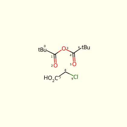 CC(C)(C)C(=O)OC(=O)C(C)(C)C.O=C(O)CCl